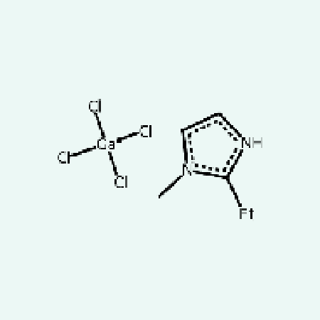 CCc1[nH]cc[n+]1C.[Cl][Ga-]([Cl])([Cl])[Cl]